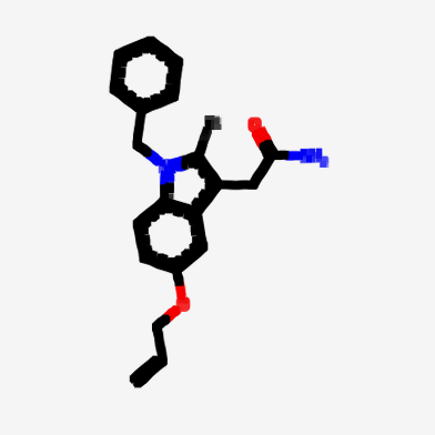 C=CCOc1ccc2c(c1)c(CC(N)=O)c(CC)n2Cc1ccccc1